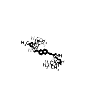 C[C@H]1C[C@@H](c2nc(-c3ccc4cc(C#Cc5c[nH]c(C6C[C@H]7C[C@H]7N6C(=O)OC(C)(C)C)n5)ccc4c3)c[nH]2)N(C(=O)OC(C)(C)C)C1